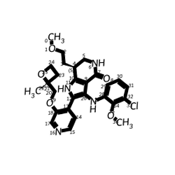 COCC[C@H]1CNC(=O)c2c1[nH]c(-c1ccncc1OC[C@]1(C)CCO1)c2Nc1cccc(Cl)c1OC